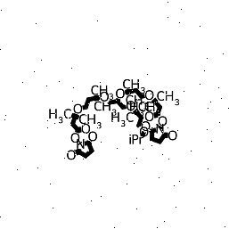 CC(C)OCCC(C)(C)OCC(COC(C)(C)CCOC(C)(C)CC(=O)ON1C(=O)CCC1=O)OC(C)(C)CCOC(C)(C)CC(=O)ON1C(=O)CCC1=O